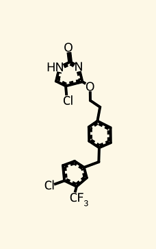 O=c1nc(OCCc2ccc(Cc3ccc(Cl)c(C(F)(F)F)c3)cc2)c(Cl)c[nH]1